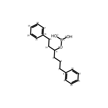 OB(O)OC(CCCc1ccccc1)CCc1ccccc1